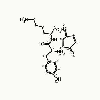 NCCCC[C@H](NC(=O)[C@@H](N)Cc1ccc(O)cc1)C(=O)O.O=C1C=CC(=O)C=C1